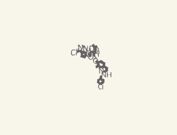 CC1c2nc(NCc3ccc(Cl)cc3)ccc2C=CC1OC[C@H]1O[C@@H](n2ccc3c(Cl)ncnc32)[C@@H]2OC(C)(C)O[C@@H]21